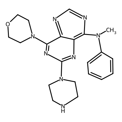 CN(c1ccccc1)c1ncnc2c(N3CCOCC3)nc(N3CCNCC3)nc12